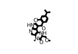 CNc1cnc2[nH]cc(C(=O)c3ccc(C(C)C)cc3Cl)c2c1NC(C=O)COC